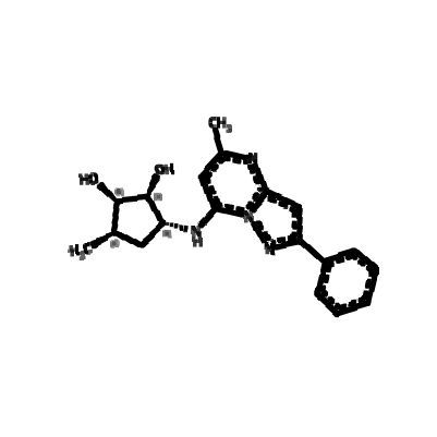 [CH2][C@@H]1C[C@@H](Nc2cc(C)nc3cc(-c4ccccc4)nn23)[C@H](O)[C@@H]1O